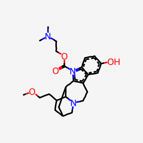 COCCC1CC2CC3c4c(c5cc(O)ccc5n4C(=O)OCCN(C)C)CCN(C2)C13